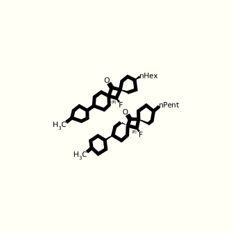 CCCCCC1CC[C@]2(CC1)C(=O)[C@@]1(CC[C@H](C3CCC(C)CC3)CC1)[C@@H]2F.CCCCCC[C@H]1CC[C@]2(CC1)C(=O)C1(CCC(C3CCC(C)CC3)CC1)[C@@H]2F